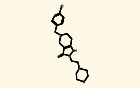 O=c1c2c([nH]n1CCN1CCOCC1)CCN(Cc1ccc(Cl)cc1)C2